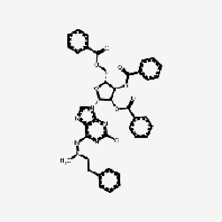 CN(CCc1ccccc1)Nc1nc(Cl)nc2c1ncn2[C@@H]1O[C@H](COC(=O)c2ccccc2)[C@@H](OC(=O)c2ccccc2)[C@H]1OC(=O)c1ccccc1